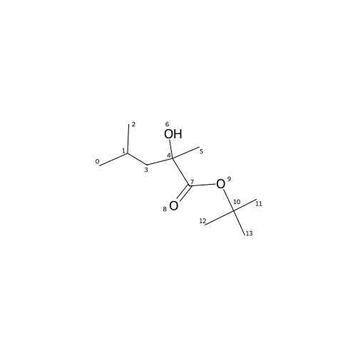 CC(C)CC(C)(O)C(=O)OC(C)(C)C